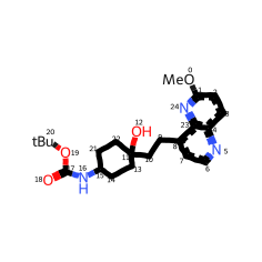 COc1ccc2nccc(CCC3(O)CCC(NC(=O)OC(C)(C)C)CC3)c2n1